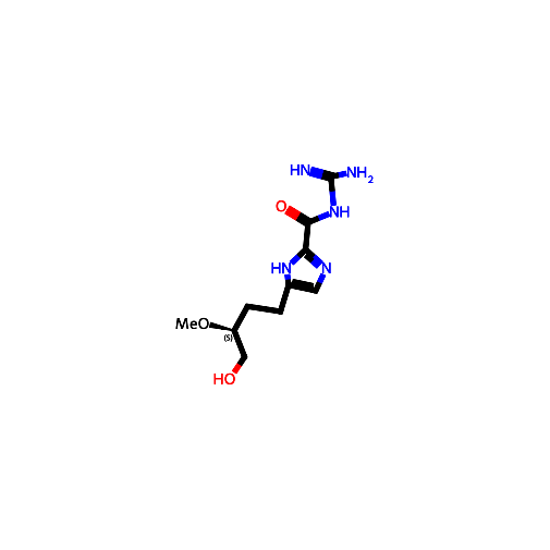 CO[C@H](CO)CCc1cnc(C(=O)NC(=N)N)[nH]1